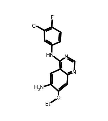 CCOc1cc2ncnc(Nc3ccc(F)c(Cl)c3)c2cc1N